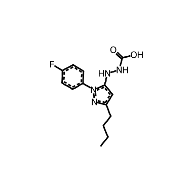 CCCCc1cc(NNC(=O)O)n(-c2ccc(F)cc2)n1